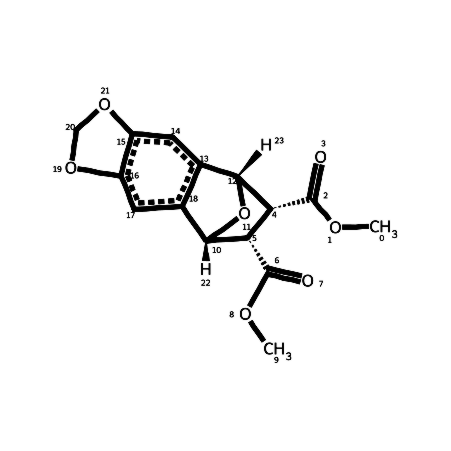 COC(=O)[C@@H]1[C@H](C(=O)OC)[C@H]2O[C@@H]1c1cc3c(cc12)OCO3